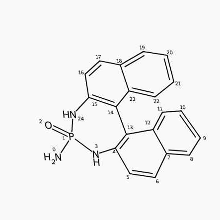 NP1(=O)Nc2ccc3ccccc3c2-c2c(ccc3ccccc23)N1